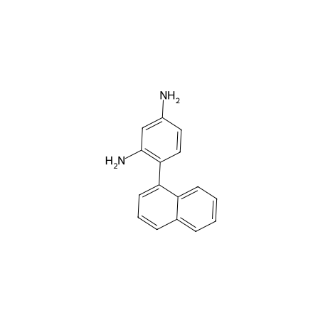 Nc1ccc(-c2cccc3ccccc23)c(N)c1